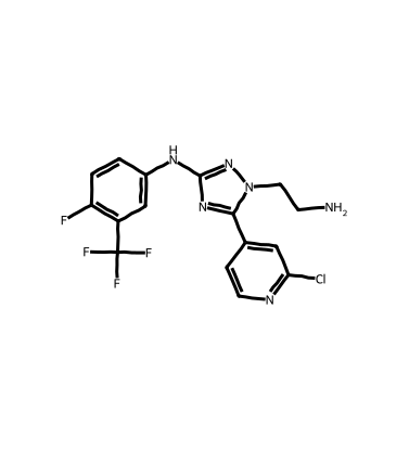 NCCn1nc(Nc2ccc(F)c(C(F)(F)F)c2)nc1-c1ccnc(Cl)c1